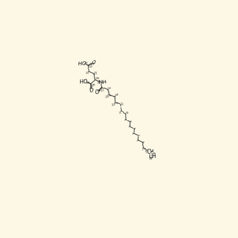 CCCCCCCCCCCCCCCCCC(=O)NC(CCC(=O)O)C(=O)O.[LiH]